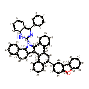 C1=CC2=C(c3ccccc3)N=C(n3c4c5ccccc5ccc4c4c5c6ccccc6c(-c6ccc7oc8ccccc8c7c6)cc5c5ccccc5c43)NC2C=C1